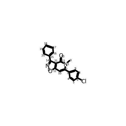 Cn1c(-c2ccc(Cl)cc2)cc2onc(-c3ccccc3)c2c1=O